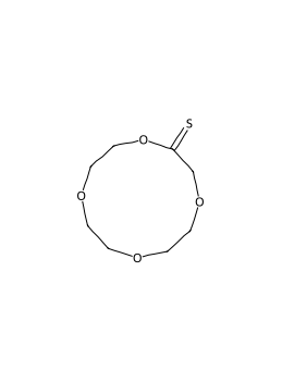 S=C1COCCOCCOCCO1